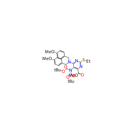 CCSc1nc(C(=O)OC)c(N(C(=O)OC(C)(C)C)C(=O)OC(C)(C)C)c(N(Cc2ccc(OC)cc2)Cc2ccc(OC)cc2)n1